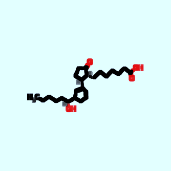 CCCCC[C@@H](O)C1C=C([C@H]2CCC(=O)[C@@H]2CCCCCCC(=O)O)C=CC1